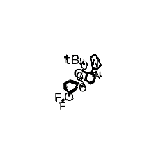 Cn1c2c(c3c(C(=O)OC(C)(C)C)c(S(=O)(=O)c4cccc(OC(F)F)c4)ccc31)C1CCC(C2)N1